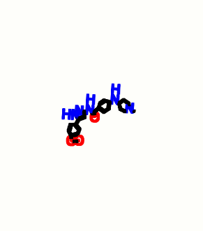 CN1CCC(Nc2ccc(C(=O)Nc3cc(-c4ccc5c(c4)OCO5)[nH]n3)cc2)CC1